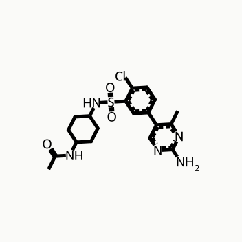 CC(=O)NC1CCC(NS(=O)(=O)c2cc(-c3cnc(N)nc3C)ccc2Cl)CC1